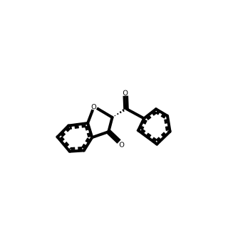 O=C(c1ccccc1)[C@H]1Oc2ccccc2C1=O